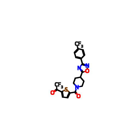 O=C(c1ccc(C(=O)C(F)(F)F)s1)N1CCC(c2nc(-c3ccc(C(F)(F)F)cc3)no2)CC1